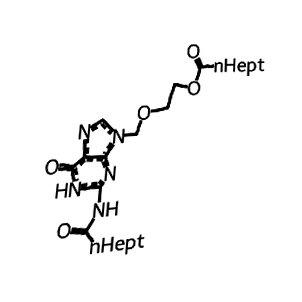 CCCCCCCC(=O)Nc1nc2c(ncn2COCCOC(=O)CCCCCCC)c(=O)[nH]1